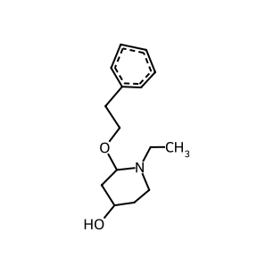 CCN1CCC(O)CC1OCCc1ccccc1